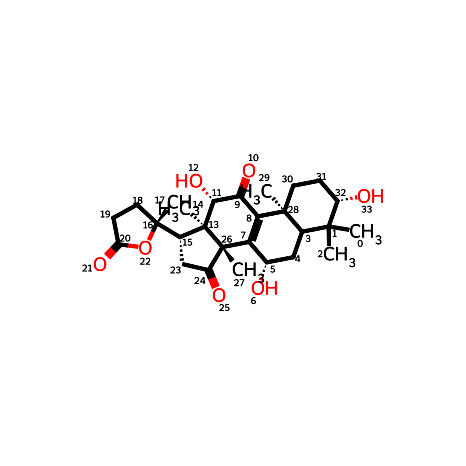 CC1(C)C2C[C@H](O)C3=C(C(=O)[C@@H](O)[C@]4(C)[C@@H]([C@@]5(C)CCC(=O)O5)CC(=O)[C@@]34C)[C@@]2(C)CC[C@@H]1O